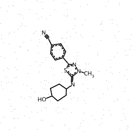 Cn1nc(-c2ccc(C#N)cc2)sc1=NC1CCC(O)CC1